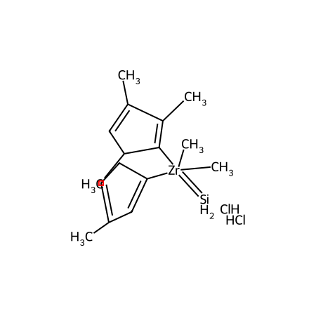 CC1=CC[C]([Zr]([CH3])([CH3])(=[SiH2])[C]2=C(C)C(C)=CC2C)=C1.Cl.Cl